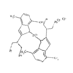 Cc1ccc(C)c2c1C=C(P(CC(C)C)CC(C)C)[CH]2[Zr+2][CH]1C(P(CC(C)C)CC(C)C)=Cc2c(C)ccc(C)c21.[Cl-].[Cl-]